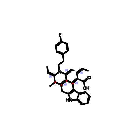 C\C=C/C(=C\C(=C\CC)C(=C/C)\N(CCc1ccc(F)cc1)/C(=C\C)CN1CCc2c([nH]c3ccccc23)C1)C(=O)O